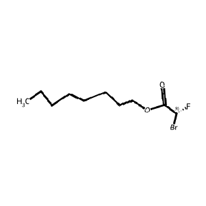 CCCCCCCCOC(=O)[C@H](F)Br